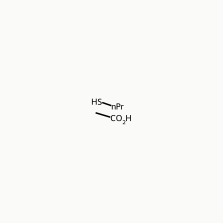 CC(=O)O.CCCS